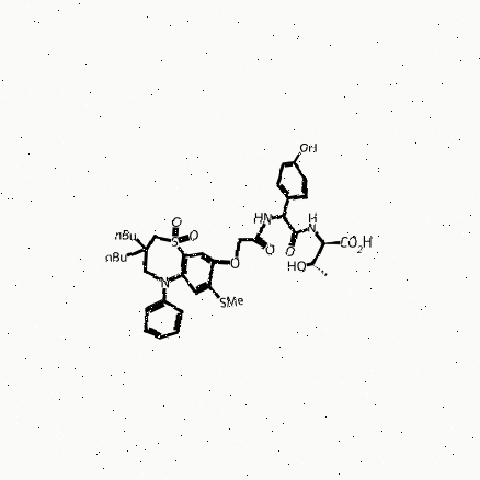 CCCCC1(CCCC)CN(c2ccccc2)c2cc(SC)c(OCC(=O)NC(C(=O)N[C@@H](C(=O)O)[C@H](C)O)c3ccc(O)cc3)cc2S(=O)(=O)C1